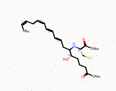 CCCC/C=C\C\C=C/C=C/C=C/CC(N[C@@H](CS)C(=O)OC)[C@@H](O)CCCC(=O)OC